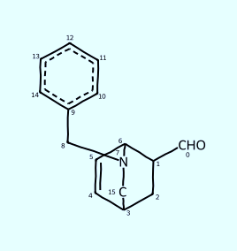 O=CC1CC2C=CC1N(Cc1ccccc1)C2